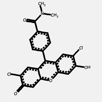 CN(C)C(=O)c1ccc(-c2c3cc(Cl)c(=O)cc-3oc3cc(O)c(Cl)cc23)cc1